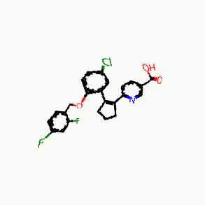 O=C(O)c1ccc(C2=C(c3cc(Cl)ccc3OCc3ccc(F)cc3F)CCC2)nc1